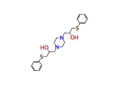 OC(CSc1ccccc1)CN1CCN(CC(O)CSc2ccccc2)CC1